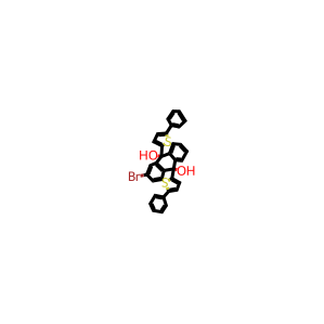 OC1(c2ccc(-c3ccccc3)s2)c2ccccc2C(O)(c2ccc(-c3ccccc3)s2)c2cc(Br)ccc21